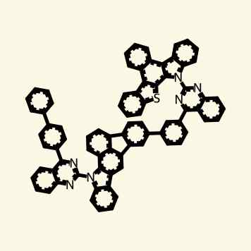 c1ccc(-c2ccc(-c3nc(-n4c5ccccc5c5cc6c7c(cccc7c54)-c4ccc(-c5cccc(-c7nc(-n8c9ccccc9c9c%10ccccc%10c%10c%11ccccc%11sc%10c98)nc8ccccc78)c5)cc4-6)nc4ccccc34)cc2)cc1